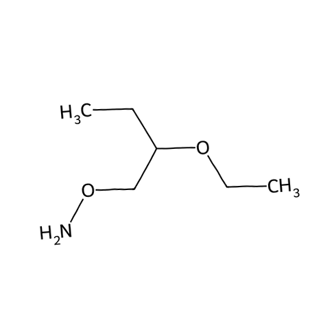 CCOC(CC)CON